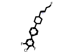 FCC/C=C/C1CCC(c2ccc(-c3cc(F)c(Cl)c(F)c3)cc2)CC1